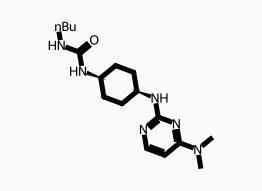 CCCCNC(=O)N[C@H]1CC[C@@H](Nc2nccc(N(C)C)n2)CC1